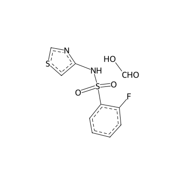 O=CO.O=S(=O)(Nc1cscn1)c1ccccc1F